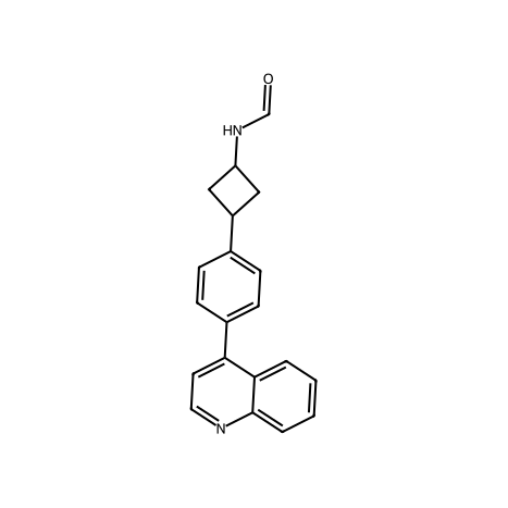 O=CNC1CC(c2ccc(-c3ccnc4ccccc34)cc2)C1